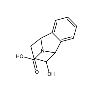 O=C(O)N1C2CCC(O)C1c1ccccc12